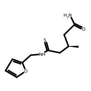 C[C@@H]([CH]C(=S)NCc1ccco1)CC(N)=O